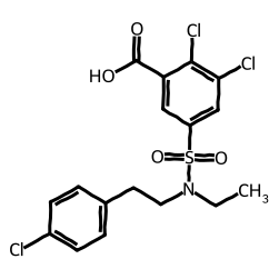 CCN(CCc1ccc(Cl)cc1)S(=O)(=O)c1cc(Cl)c(Cl)c(C(=O)O)c1